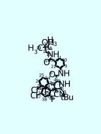 CC(C)(C)C[C@@H]1N[C@@H](C(=O)Nc2cccc(C(=O)NCC(C)(C)O)c2)[C@H](c2cccc(Cl)c2F)[C@@]1(C#N)c1ccc(Cl)cc1F